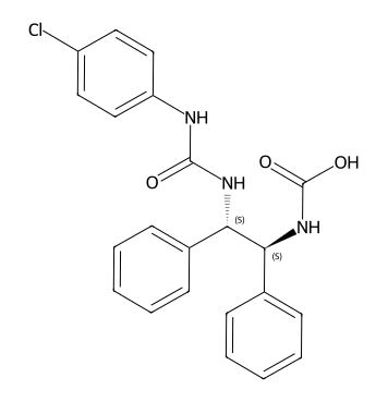 O=C(O)N[C@@H](c1ccccc1)[C@@H](NC(=O)Nc1ccc(Cl)cc1)c1ccccc1